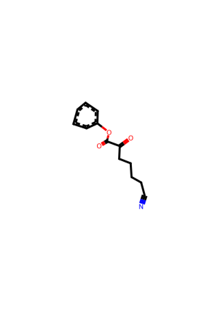 N#CCCCCC(=O)C(=O)Oc1ccccc1